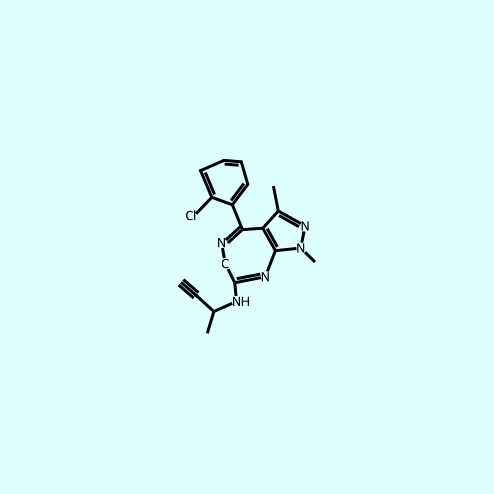 C#CC(C)NC1=Nc2c(c(C)nn2C)C(c2ccccc2Cl)=NC1